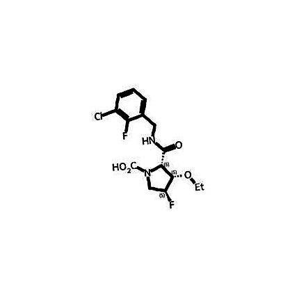 CCO[C@H]1[C@@H](C(=O)NCc2cccc(Cl)c2F)N(C(=O)O)C[C@@H]1F